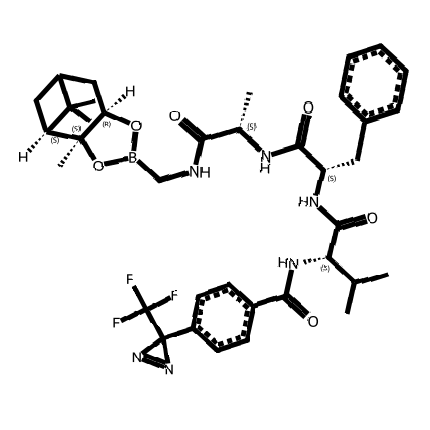 CC(C)[C@H](NC(=O)c1ccc(C2(C(F)(F)F)N=N2)cc1)C(=O)N[C@@H](Cc1ccccc1)C(=O)N[C@@H](C)C(=O)NCB1O[C@@H]2CC3C[C@@H](C3(C)C)[C@]2(C)O1